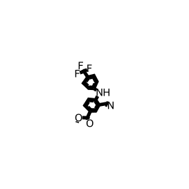 COC(=O)c1ccc(Nc2ccc(C(F)(F)F)cc2)c(C#N)c1